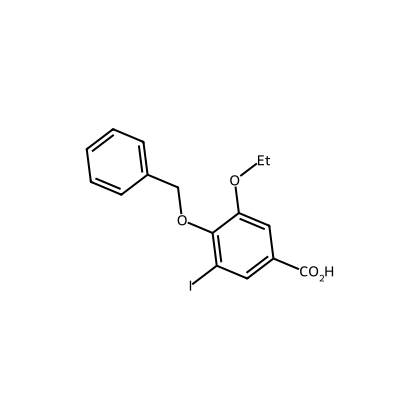 CCOc1cc(C(=O)O)cc(I)c1OCc1ccccc1